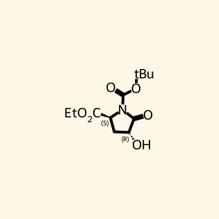 CCOC(=O)[C@@H]1C[C@@H](O)C(=O)N1C(=O)OC(C)(C)C